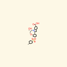 Cc1ccc(S(=O)(=O)Oc2ccc3c(c2)OC[C@H](CO)Cn2c-3cc3ccc(C(=O)O)cc32)cc1